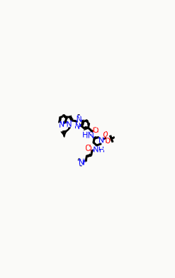 CN(C)CC=CC(=O)NC1CC(NC(=O)c2ccc3c(c2)nc(-c2cc4cccnc4n2CC2CC2)n3C)CN(C(=O)OC(C)(C)C)C1